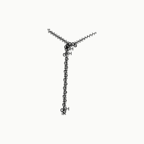 CCCCCCCCCCCCCCCCCC(=O)OC[C@H](COP(=O)(O)OCCNC(=O)CCOCCOCCOCCOCCOCCOCCOCCOCCOCCOCCOCCOCCNC(=O)OC(C)(C)C)OC(=O)CCCCCCCCCCCCCCCCC